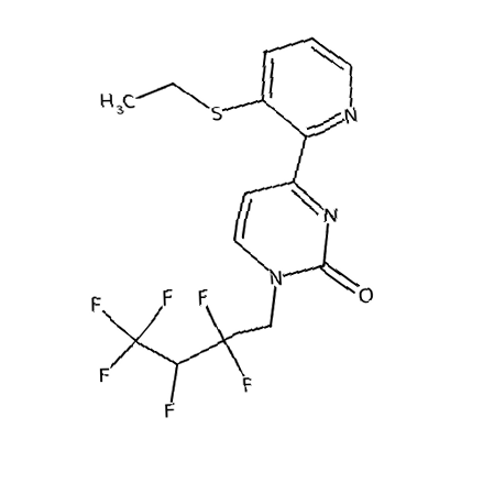 CCSc1cccnc1-c1ccn(CC(F)(F)C(F)C(F)(F)F)c(=O)n1